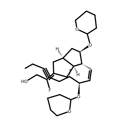 CCC#CC[C@H](C)[C@@H](/C=C\[C@@H]1[C@H]2CC(=C(F)CO)C[C@H]2C[C@H]1OC1CCCCO1)OC1CCCCO1